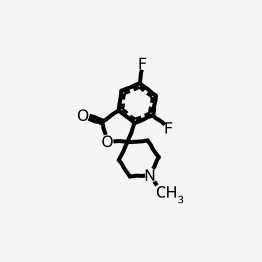 CN1CCC2(CC1)OC(=O)c1cc(F)cc(F)c12